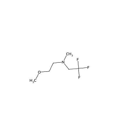 COCCN(C)CC(F)(F)F